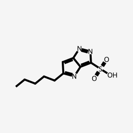 CCCCCC1=NC2=C(S(=O)(=O)O)N=NC2=C1